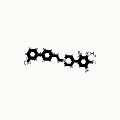 Cc1c(F)c(F)cc(C2=CCN(CCc3ccc(-c4cccc(Cl)c4)cc3)CC2)c1F